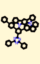 c1ccc(-c2ccc(-c3cc(-c4nc(-c5ccccc5)nc(-c5ccccc5)n4)cc(-c4ccc(-c5ccccc5)cc4)c3-n3c4ccccc4c4cc5c6ccccc6n(-c6ccccc6)c5cc43)cc2)cc1